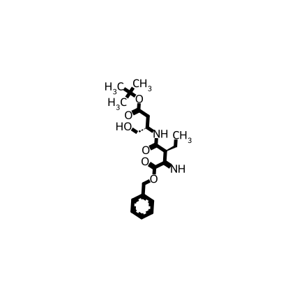 CC[C@@H](C(=N)C(=O)OCc1ccccc1)C(=O)N[C@H](CO)CC(=O)OC(C)(C)C